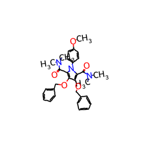 COc1ccc(-n2c(C(=O)N(C)C)c(OCc3ccccc3)c(OCc3ccccc3)c2C(=O)N(C)C)cc1